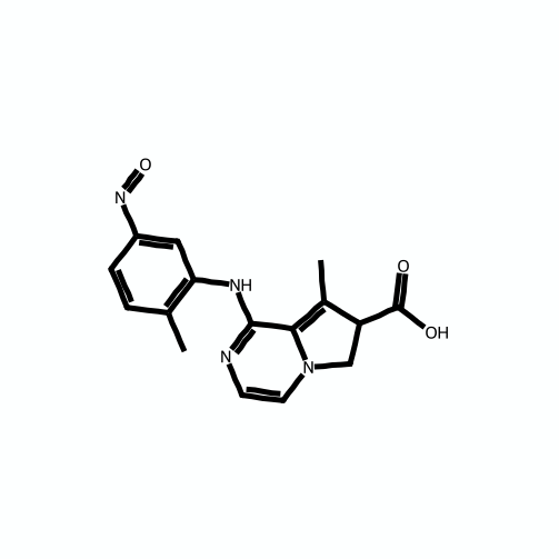 CC1=C2C(Nc3cc(N=O)ccc3C)=NC=CN2CC1C(=O)O